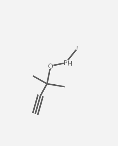 C#CC(C)(C)OPI